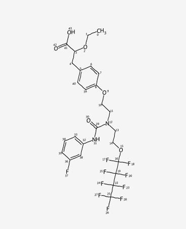 CCOC(Cc1ccc(OCCN(CCOC(F)(F)C(F)(F)C(F)(F)C(F)(F)F)C(=O)Nc2cccc(F)c2)cc1)C(=O)O